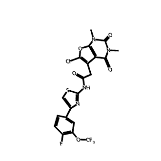 Cn1c(=O)c2c(CC(=O)Nc3nc(-c4ccc(F)c(OC(F)(F)F)c4)cs3)c(Cl)oc2n(C)c1=O